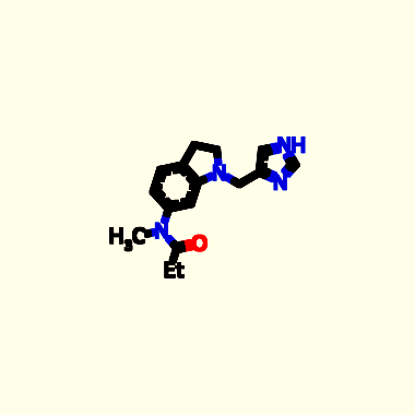 CCC(=O)N(C)c1ccc2c(c1)N(Cc1c[nH]cn1)CC2